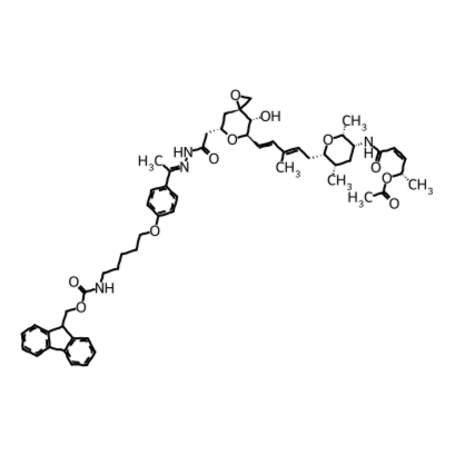 CC(=O)O[C@@H](C)/C=C\C(=O)N[C@@H]1C[C@H](C)[C@H](C/C=C(C)/C=C/[C@H]2O[C@H](CC(=O)N/N=C(\C)c3ccc(OCCCCCNC(=O)OCC4c5ccccc5-c5ccccc54)cc3)C[C@@]3(CO3)[C@@H]2O)O[C@@H]1C